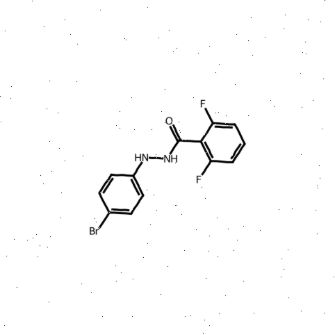 O=C(NNc1ccc(Br)cc1)c1c(F)cccc1F